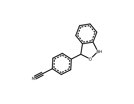 N#Cc1ccc(C2OBc3ccccc32)cc1